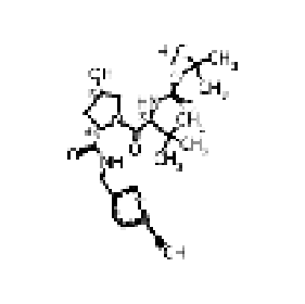 C#Cc1ccc(CNC(=O)[C@@H]2C[C@@H](O)CN2C(=O)[C@@H](NC(=O)OC(C)(C)C)C(C)(C)C)cc1